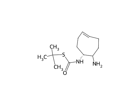 CC(C)(C)SC(=O)N[C@@H]1CC/C=C/CCC1N